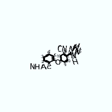 CC(=O)Nc1ccccc1Oc1ccc(-c2nnn[nH]2)c(C#N)c1